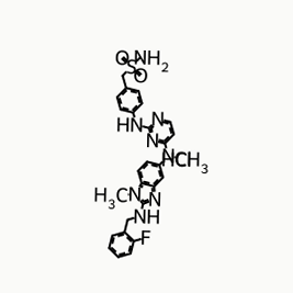 CN(c1ccc2c(c1)nc(NCc1ccccc1F)n2C)c1ccnc(Nc2ccc(CS(N)(=O)=O)cc2)n1.Cl